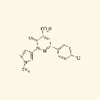 Cn1cc(-n2nc(-c3ccc(Cl)cc3)cc(C(=O)O)c2=O)cn1